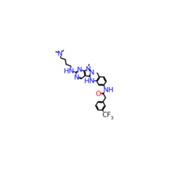 Cc1ccc(NC(=O)Cc2cccc(C(F)(F)F)c2)cc1Nc1nn(C)c2nc(NCCCCN(C)C)ncc12